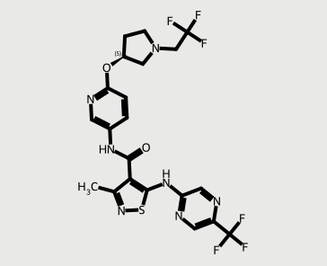 Cc1nsc(Nc2cnc(C(F)(F)F)cn2)c1C(=O)Nc1ccc(O[C@H]2CCN(CC(F)(F)F)C2)nc1